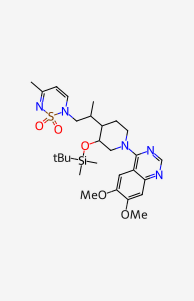 COc1cc2ncnc(N3CCC(C(C)CN4C=CC(C)=NS4(=O)=O)C(O[Si](C)(C)C(C)(C)C)C3)c2cc1OC